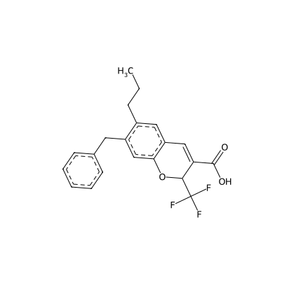 CCCc1cc2c(cc1Cc1ccccc1)OC(C(F)(F)F)C(C(=O)O)=C2